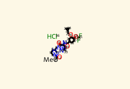 COC(=O)N1CCCC(CNC(=O)c2nc(-c3ccc(OC(F)F)c(OCC4CC4)c3)oc2[C@H](C)N)C1.Cl